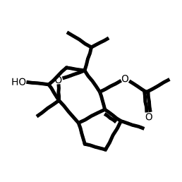 CC(=O)OC1C2=C(C)CCC2C2(C)OC1(C(C)C)CC2O